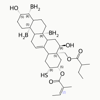 B[C@@H]1C2CC[C@@]3(B)C4C[C@@H](O)[C@@]5(COC(=O)C(C)CC)C[C@H](OC(=O)/C(C)=C\C)[C@H](S)CC5C4=CCC3[C@@]2(B)CC[C@@H]1O